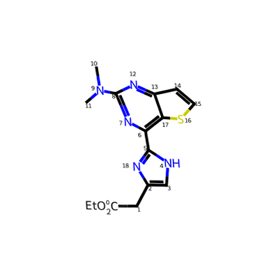 CCOC(=O)Cc1c[nH]c(-c2nc(N(C)C)nc3ccsc23)n1